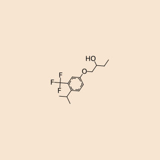 CCC(O)COc1ccc(C(C)C)c(C(F)(F)F)c1